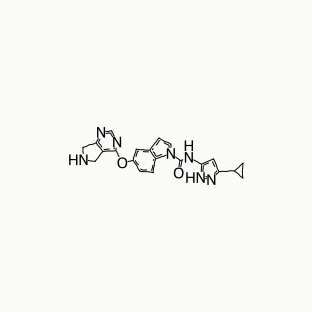 O=C(Nc1cc(C2CC2)n[nH]1)n1ccc2cc(Oc3ncnc4c3CNC4)ccc21